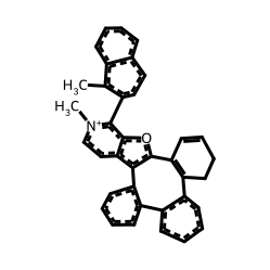 Cc1c(-c2c3oc4c(c3cc[n+]2C)-c2ccccc2-c2ccccc2C2=C4C=CCC2)ccc2ccccc12